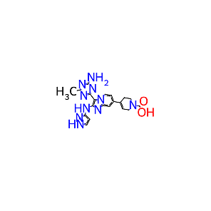 Cc1nc(N)nc(-c2c(Nc3cc[nH]n3)nc3cc(C4=CCN(C(=O)O)CC4)ccn23)n1